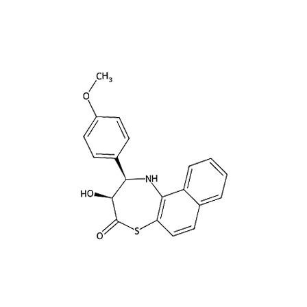 COc1ccc([C@H]2Nc3c(ccc4ccccc34)SC(=O)[C@H]2O)cc1